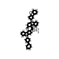 CC1(C)c2ccc3c(c2Oc2ccc4c(c21)c1ccccc1n4-c1ccc2oc4ccccc4c2c1)c1ccccc1n3-c1ccc(-c2ccccc2)cc1